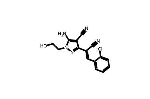 N#CC(=Cc1ccccc1Cl)c1nn(CCO)c(N)c1C#N